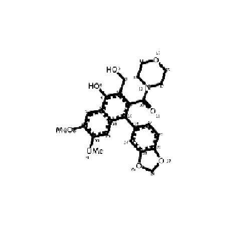 COc1cc2c(O)c(CO)c(C(=O)N3CCOCC3)c(-c3ccc4c(c3)OCO4)c2cc1OC